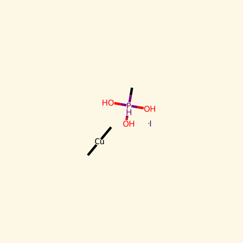 C[PH](O)(O)O.[CH3][Cu][CH3].[I]